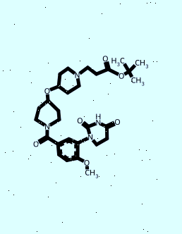 COc1ccc(C(=O)N2CCC(OC3CCN(CCC(=O)OC(C)(C)C)CC3)CC2)cc1N1CCC(=O)NC1=O